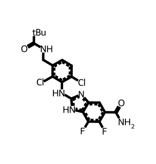 CC(C)(C)C(=O)NCc1ccc(Cl)c(Nc2nc3cc(C(N)=O)c(F)c(F)c3[nH]2)c1Cl